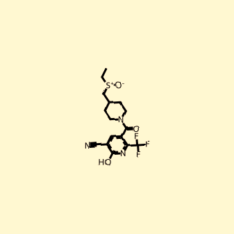 CC[S+]([O-])CC1CCN(C(=O)c2cc(C#N)c(O)nc2C(F)(F)F)CC1